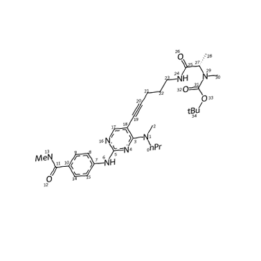 CCCN(C)c1nc(Nc2ccc(C(=O)NC)cc2)ncc1C#CCCCNC(=O)[C@H](C)N(C)C(=O)OC(C)(C)C